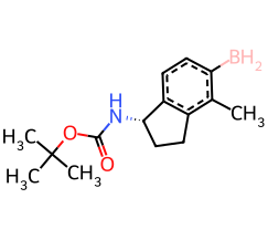 Bc1ccc2c(c1C)CC[C@@H]2NC(=O)OC(C)(C)C